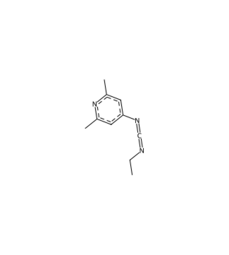 CCN=C=Nc1cc(C)nc(C)c1